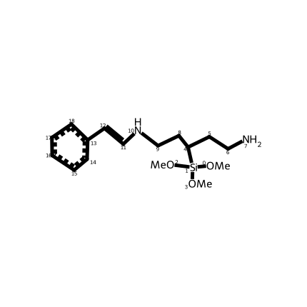 CO[Si](OC)(OC)C(CCN)CCNC=Cc1ccccc1